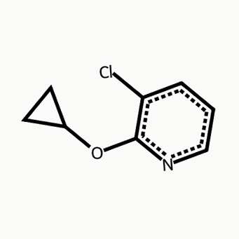 Clc1cccnc1OC1CC1